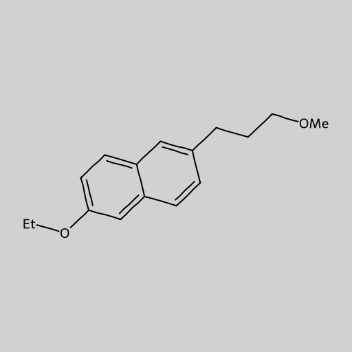 CCOc1ccc2cc(CCCOC)ccc2c1